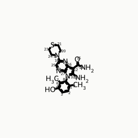 Cc1ccc(O)c(C)c1-n1c(N)c(C(N)=O)c2nc(N3CCSCC3)cnc21